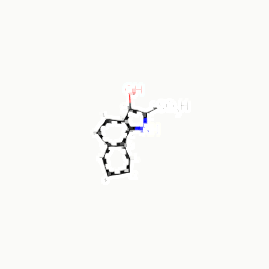 O=S(=O)(O)c1[nH]c2c(ccc3ccccc32)c1O